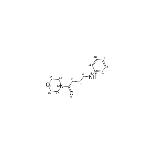 O=C(CCCNc1cc[c]cc1)N1CCOCC1